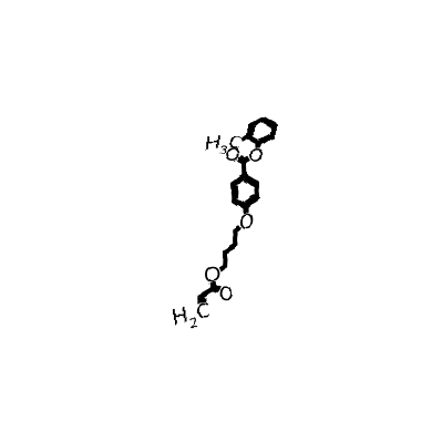 C=CC(=O)OCCCCOc1ccc(C(=O)Oc2ccccc2C)cc1